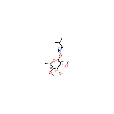 CO[C@@H]1[C@@H](OC)[C@H](C)O[C@@H](O/N=C/C(C)C)[C@@H]1OC